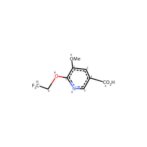 COc1cc(C(=O)O)cnc1OCC(F)(F)F